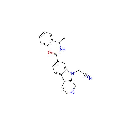 C[C@@H](NC(=O)c1ccc2c3ccncc3n(CC#N)c2c1)c1ccccc1